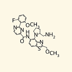 COCc1nc2c(N3CCCC3CN)c(NC(=O)c3ccnc(-c4c(F)cccc4OC)n3)ccc2s1